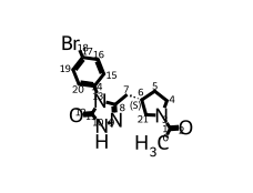 CC(=O)N1CC[C@@H](Cc2n[nH]c(=O)n2-c2ccc(Br)cc2)C1